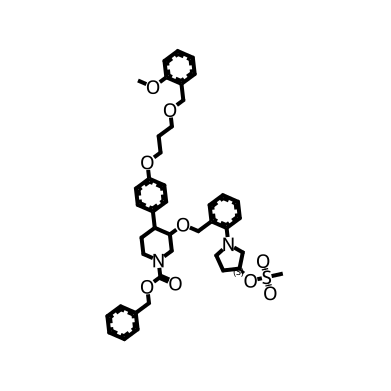 COc1ccccc1COCCCOc1ccc(C2CCN(C(=O)OCc3ccccc3)CC2OCc2ccccc2N2CC[C@H](OS(C)(=O)=O)C2)cc1